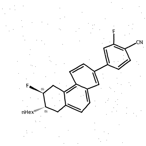 CCCCCC[C@H]1Cc2ccc3cc(-c4ccc(C#N)c(F)c4)ccc3c2C[C@@H]1F